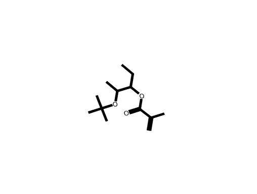 C=C(C)C(=O)OC(CC)C(C)OC(C)(C)C